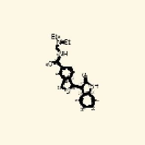 CCN(CC)CNC(=O)c1ccc2c(c1)COC2C1C(=O)Nc2ccccc21